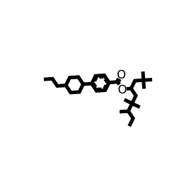 CCCC1CCC(c2ccc(C(=O)OC(CC(C)(C)C)CC(C)(C)C(C)CC)cc2)CC1